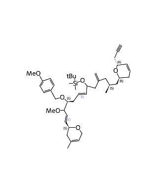 C#CC[C@@H]1C=CC[C@@H](C[C@@H](C)CC(=C)CC(/C=C/C[C@H](OCc2ccc(OC)cc2)C(/C=C/[C@@H]2CC(C)=CCO2)OC)O[Si](C)(C)C(C)(C)C)O1